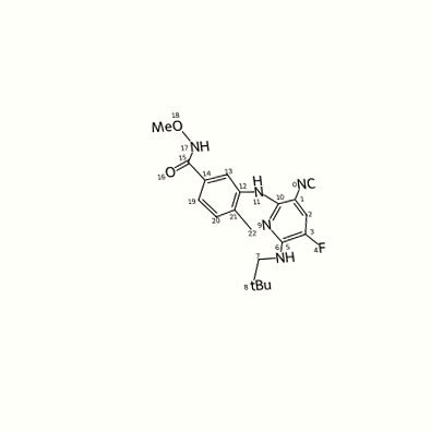 [C-]#[N+]c1cc(F)c(NCC(C)(C)C)nc1Nc1cc(C(=O)NOC)ccc1C